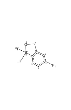 Fc1ccc2c(c1)CO[B-]2(F)F